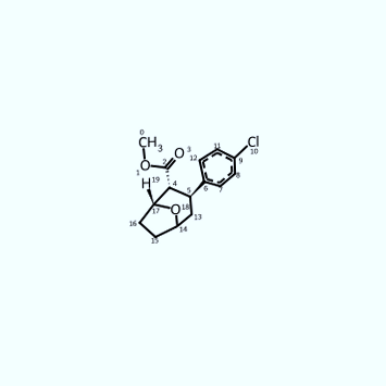 COC(=O)[C@@H]1[C@@H](c2ccc(Cl)cc2)CC2CC[C@H]1O2